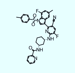 Cc1ccc(S(=O)(=O)n2cc(-c3nc(N[C@H]4CCC[C@@H](NC(=O)c5ccccn5)C4)c(F)cc3C#N)c3cc(C)cc(F)c32)cc1